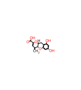 C=C1C=C(C(=O)O)O[C@@H]2Cc3c(O)cc(O)cc3OC12